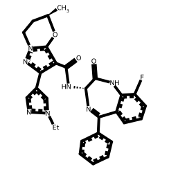 CCn1cc(-c2nn3c(c2C(=O)N[C@H]2N=C(c4ccccc4)c4cccc(F)c4NC2=O)O[C@H](C)CC3)cn1